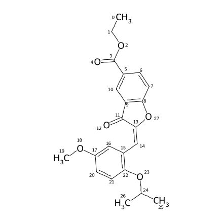 CCOC(=O)c1ccc2c(c1)C(=O)C(=Cc1cc(OC)ccc1OC(C)C)O2